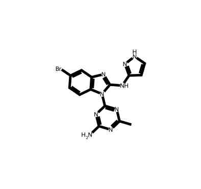 Cc1nc(N)nc(-n2c(Nc3cc[nH]n3)nc3cc(Br)ccc32)n1